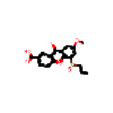 CCC[S+]([O-])c1cc(OC)cc2c(=O)c3cc(C(=O)O)ccc3oc12